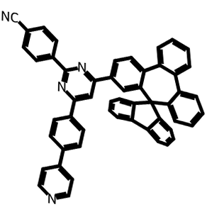 N#Cc1ccc(-c2nc(-c3ccc(-c4ccncc4)cc3)cc(-c3ccc4c(c3)C3(c5ccccc5-c5ccccc5-4)c4ccccc4-c4ccccc43)n2)cc1